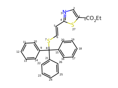 CCOC(=O)c1cnc(C=CSC(c2ccccc2)(c2ccccc2)c2ccccc2)s1